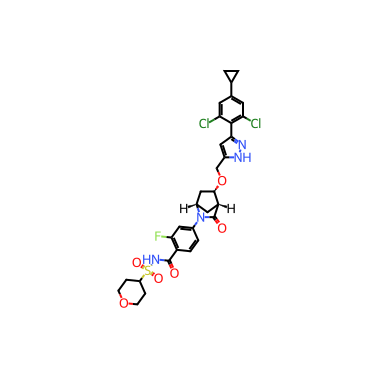 O=C(NS(=O)(=O)C1CCOCC1)c1ccc(N2C(=O)[C@@H]3C[C@H]2C[C@H]3OCc2cc(-c3c(Cl)cc(C4CC4)cc3Cl)n[nH]2)cc1F